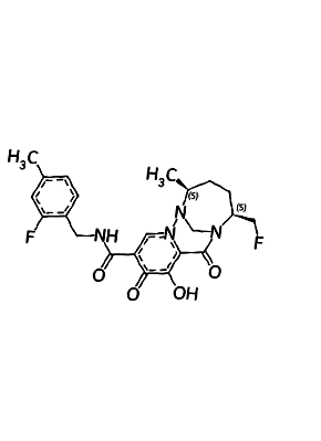 Cc1ccc(CNC(=O)c2cn3c(c(O)c2=O)C(=O)N2CN3[C@@H](C)CC[C@H]2CF)c(F)c1